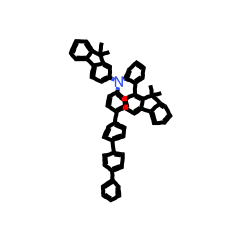 CC1(C)c2ccccc2-c2ccc(N(c3ccc(-c4ccc(-c5ccc(-c6ccccc6)cc5)cc4)cc3)c3ccccc3-c3cccc4c3C(C)(C)c3ccccc3-4)cc21